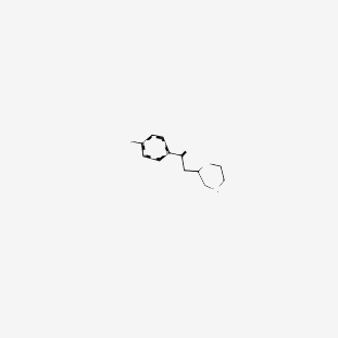 O=C(CC1CNCCO1)c1ccc([N+](=O)[O-])cc1